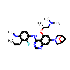 C=Nc1ccc(Nc2ncnc3cc(N4CC5CC(C4)O5)cc(O[C@H](C)CN(C)C)c23)c(F)c1/C=C\C